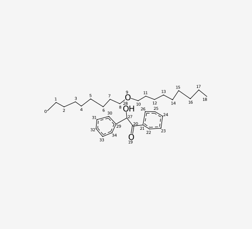 CCCCCCCCCOCCCCCCCCC.O=C(c1ccccc1)C(O)c1ccccc1